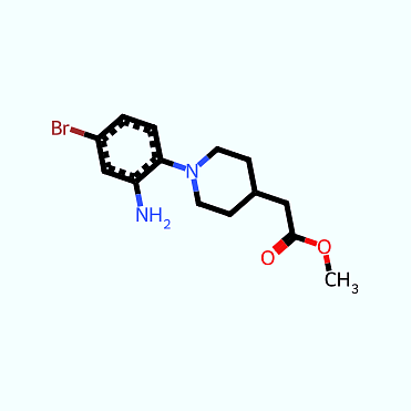 COC(=O)CC1CCN(c2ccc(Br)cc2N)CC1